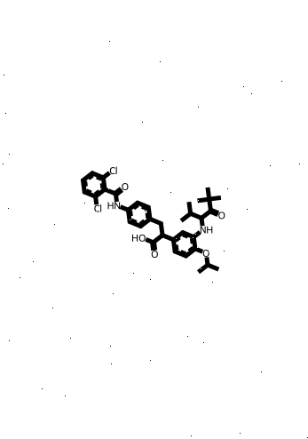 CC(C)Oc1ccc(C(Cc2ccc(NC(=O)c3c(Cl)cccc3Cl)cc2)C(=O)O)cc1NC(C(=O)C(C)(C)C)C(C)C